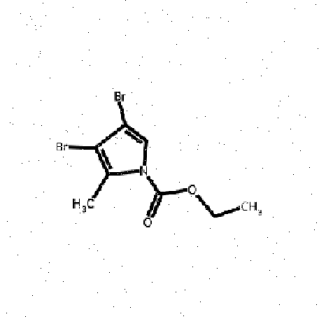 CCOC(=O)n1cc(Br)c(Br)c1C